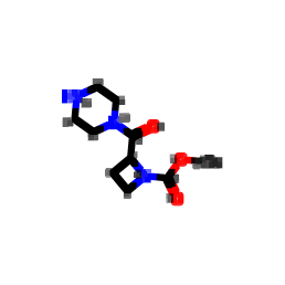 CC(C)(C)OC(=O)N1CCC1C(=O)N1CCNCC1